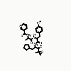 COc1ccc(CC(NC(=O)C(C)NC(=O)c2cccnc2)C(=O)NC(CC2CCCC2)C(=O)C2(C)CO2)cc1